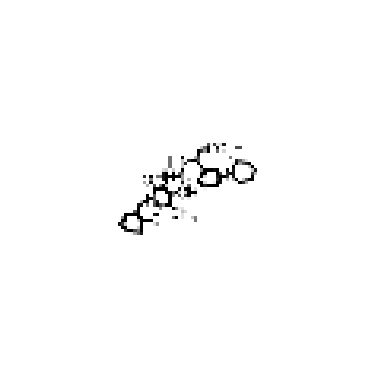 Cc1cn(Cc2ccccc2Cl)c(=O)c(NC(=O)NC(CC(=O)O)c2cccc(N3CCCCC3)c2)c1O